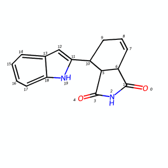 O=C1NC(=O)C2C1C=CCC2c1cc2ccccc2[nH]1